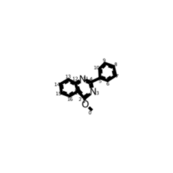 COc1nc(-c2ccccc2)nc2ccccc12